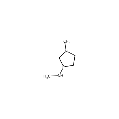 CNP1CCN(C)C1